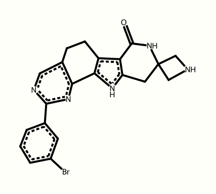 O=C1NC2(CNC2)Cc2[nH]c3c(c21)CCc1cnc(-c2cccc(Br)c2)nc1-3